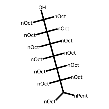 CCCCCCCCC(CCCCC)C(CCCCCCCC)(CCCCCCCC)C(CCCCCCCC)(CCCCCCCC)C(CCCCCCCC)(CCCCCCCC)C(CCCCCCCC)(CCCCCCCC)C(CCCCCCCC)(CCCCCCCC)C(O)(CCCCCCCC)CCCCCCCC